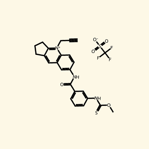 C#CC[n+]1c2c(cc3cc(NC(=O)c4cccc(NC(=S)OC)c4)ccc31)CCC2.O=S(=O)([O-])C(F)(F)F